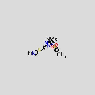 CNc1nc(C2CC(CSC3CCN(C(C)C)C3)C2)nc2c1ccn2S(=O)(=O)c1ccc(C)cc1